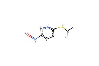 CC(C)Sc1ccc(N=O)cn1